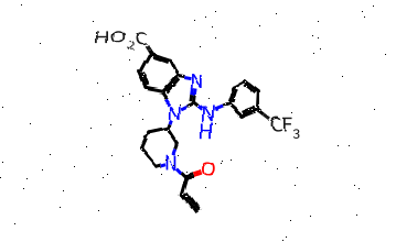 C=CC(=O)N1CCCC(n2c(Nc3cccc(C(F)(F)F)c3)nc3cc(C(=O)O)ccc32)C1